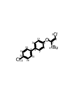 CC(C)(C)/C(=C/Cl)Oc1ccc(-c2ccc(Cl)cc2)cc1